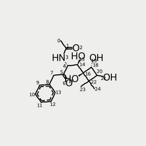 CC(=O)N[C@@H](C(=O)Cc1ccccc1)[C@@H](O)[C@]1(O)[C@H](O)C(O)C1(C)C